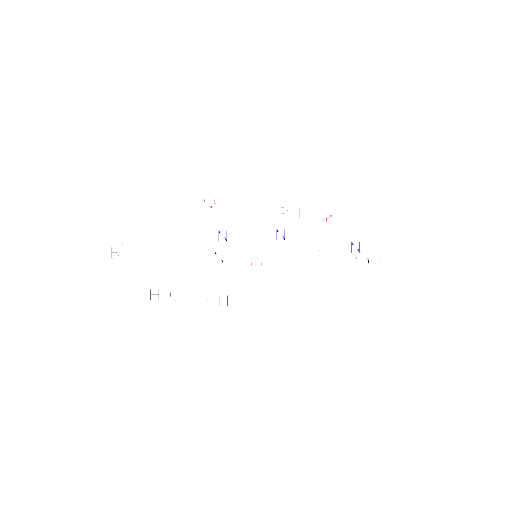 CC(C)c1nn(CC(=O)N(P)CC2CN(C)CCO2)c(=O)c2ccc(Br)cc12